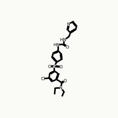 CCN(CC)C(=O)c1cc(Cl)cc(S(=O)(=O)c2ccc(NC(=O)NCc3cccnc3)cc2)c1